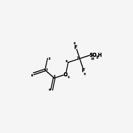 C=C(C)C(=C)OCC(F)(F)S(=O)(=O)O